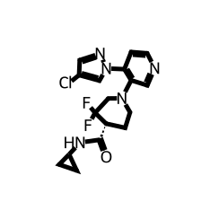 O=C(NC1CC1)[C@H]1CCN(c2cnccc2-n2cc(Cl)cn2)CC1(F)F